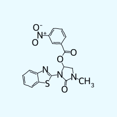 CN1CC(OC(=O)c2cccc([N+](=O)[O-])c2)N(c2nc3ccccc3s2)C1=O